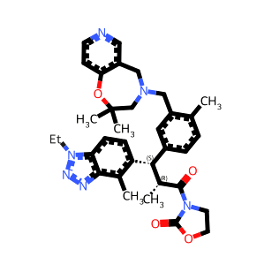 CCn1nnc2c(C)c([C@H](c3ccc(C)c(CN4Cc5cnccc5OC(C)(C)C4)c3)[C@@H](C)C(=O)N3CCOC3=O)ccc21